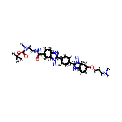 CN(C)CCCOc1ccc2nc(-c3ccc(-c4nc5ccc(C(=O)NCCN(C)C(=O)OC(C)(C)C)cc5[nH]4)cc3)[nH]c2c1